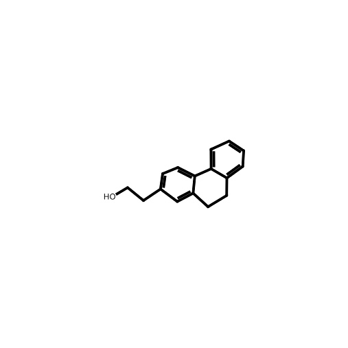 OCCc1ccc2c(c1)CCc1ccccc1-2